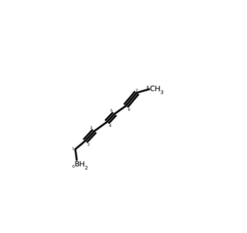 BCC#CC#CC#CC